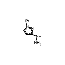 CC(C)n1ccc(NN)n1